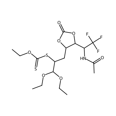 CCOC(=S)SC(CC1OC(=O)OC1C(NC(C)=O)C(F)(F)F)C(OCC)OCC